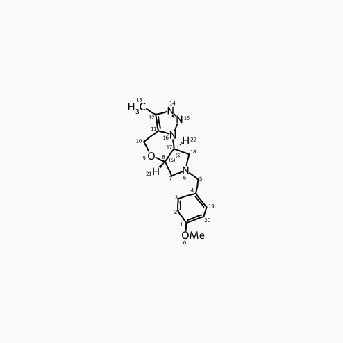 COc1ccc(CN2C[C@@H]3OCc4c(C)nnn4[C@H]3C2)cc1